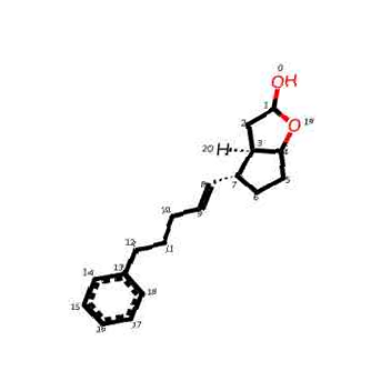 OC1C[C@H]2C(CC[C@@H]2/C=C/CCCc2ccccc2)O1